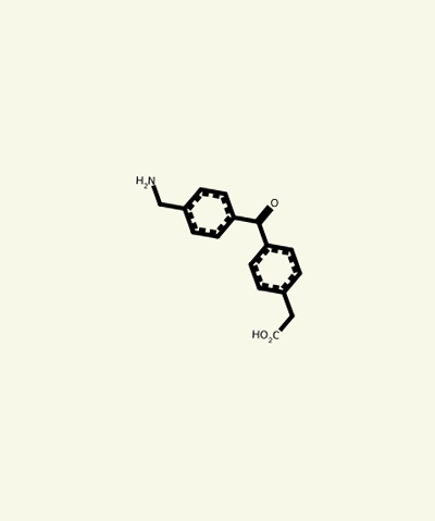 NCc1ccc(C(=O)c2ccc(CC(=O)O)cc2)cc1